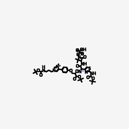 C[n+]1cn(CCCNC(=O)OC(C)(C)C)cc1-c1ccc(OCC(O/N=C(\C(=O)NC2C(=O)N(OS(=O)(=O)O)C2(C)C)c2csc(NC(=O)OC(C)(C)C)n2)C(=O)OC(C)(C)C)cc1